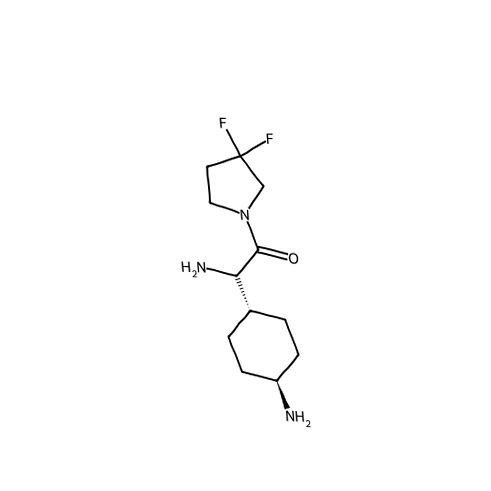 NC(C(=O)N1CCC(F)(F)C1)[C@H]1CC[C@H](N)CC1